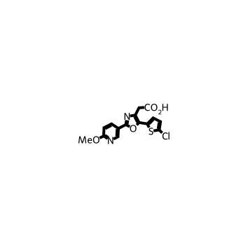 COc1ccc(-c2nc(CC(=O)O)c(-c3ccc(Cl)s3)o2)cn1